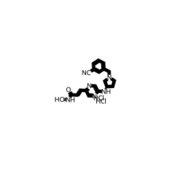 Cl.Cl.N#Cc1cccc(CN2CC[C@@H](Nc3cnc(/C=C/C(=O)NO)cn3)C2)c1